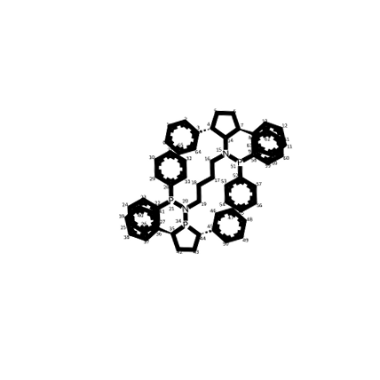 c1ccc([C@@H]2CC[C@@H](c3ccccc3)C2N(CCCCN(P(c2ccccc2)c2ccccc2)P2[C@H](c3ccccc3)CC[C@H]2c2ccccc2)P(c2ccccc2)c2ccccc2)cc1